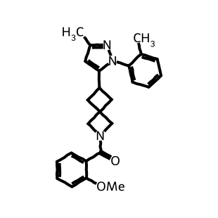 COc1ccccc1C(=O)N1CC2(CC(c3cc(C)nn3-c3ccccc3C)C2)C1